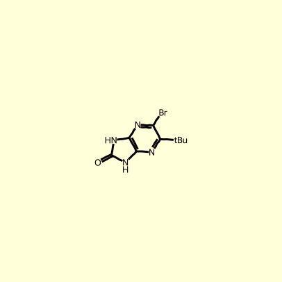 CC(C)(C)c1nc2[nH]c(=O)[nH]c2nc1Br